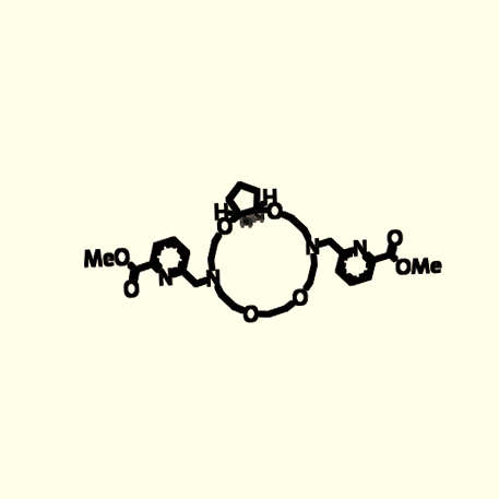 COC(=O)c1cccc(CN2CCOCCOCCN(Cc3cccc(C(=O)OC)n3)CCO[C@@H]3CCC[C@@H]3OCC2)n1